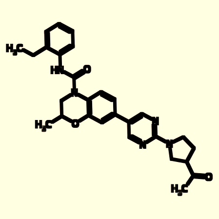 CCc1ccccc1NC(=O)N1CC(C)Oc2cc(-c3cnc(N4CCC(C(C)=O)C4)nc3)ccc21